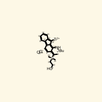 CC(=c1ccc2c(c1NC(C)(C)C)[C]([Ti+2])=c1ccccc1=2)[Si](C)(C)CCO.[Cl-].[Cl-]